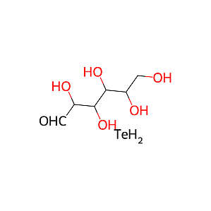 O=CC(O)C(O)C(O)C(O)CO.[TeH2]